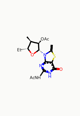 C=C1Sc2c(nc(NC(C)=O)[nH]c2=O)N1[C@@H]1O[C@H](CC)[C@@H](C)[C@H]1OC(C)=O